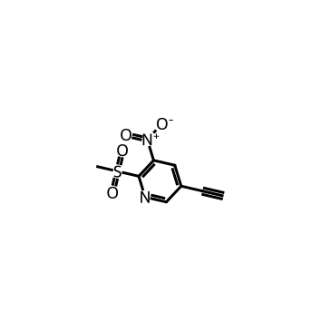 C#Cc1cnc(S(C)(=O)=O)c([N+](=O)[O-])c1